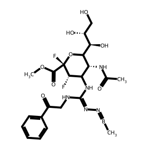 CB=NN=C(NCC(=O)c1ccccc1)NC1[C@@H](NC(C)=O)C([C@H](O)[C@H](O)CO)O[C@@](F)(C(=O)OC)[C@H]1F